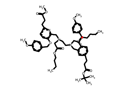 CCCCOC(=O)CN(CCN(CC(=O)OCCCC)Cc1nc(CCC(=O)OC)ccc1OCc1ccc(OC)cc1)Cc1cc(CCC(=O)OC(C)(C)C)ccc1OCc1ccc(OC)cc1